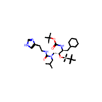 CC(C)CN(C[C@@H](O[Si](C)(C)C(C)(C)C)[C@H](CC1CCCCC1)NC(=O)OC(C)(C)C)C(=O)NCCc1c[nH]cn1